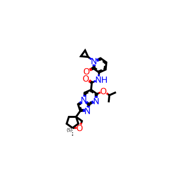 CC(C)Oc1nc2nc(C34CC[C@@](C)(C3)OC4)cn2cc1C(=O)Nc1cccn(C2CC2)c1=O